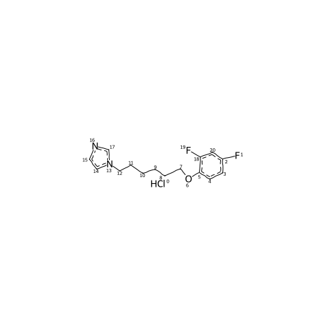 Cl.Fc1ccc(OCCCCCCn2ccnc2)c(F)c1